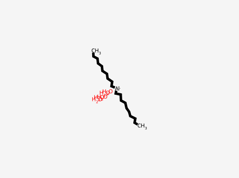 CCCCCCCCC[CH2][Al][CH2]CCCCCCCCC.O.O.O.O.O